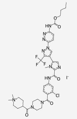 CCCCOC(=O)Nc1ccc(-n2cc(-c3cnc(C(=O)Nc4ccc(C(=O)N5CCN(C(=O)C6CC[N+](C)(C)CC6)CC5)c(Cl)c4)n3C)c(C(F)(F)F)n2)nn1.[I-]